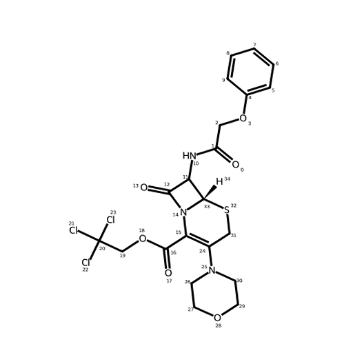 O=C(COc1ccccc1)NC1C(=O)N2C(C(=O)OCC(Cl)(Cl)Cl)=C(N3CCOCC3)CS[C@@H]12